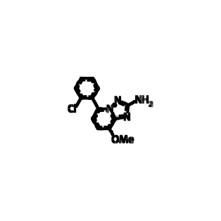 COc1ccc(-c2ccccc2Cl)n2nc(N)nc12